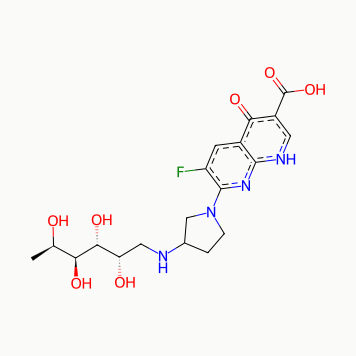 C[C@@H](O)[C@H](O)[C@H](O)[C@@H](O)CNC1CCN(c2nc3[nH]cc(C(=O)O)c(=O)c3cc2F)C1